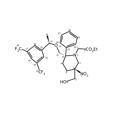 CCOC(=O)CN1C[C@@](CO)([N+](=O)[O-])CC[C@@]1(CO[C@H](C)c1cc(C(F)(F)F)cc(C(F)(F)F)c1)c1ccccc1